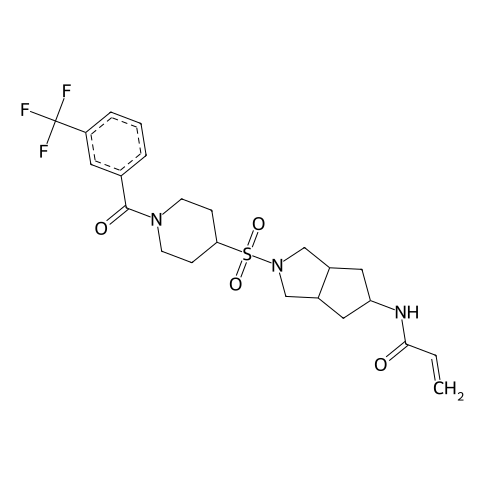 C=CC(=O)NC1CC2CN(S(=O)(=O)C3CCN(C(=O)c4cccc(C(F)(F)F)c4)CC3)CC2C1